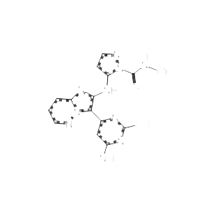 Cc1nc(N)cc(-c2c(Nc3ccnn3C(=O)NC(C)C)nc3cccnn23)n1